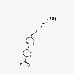 COC(=O)c1ccc(-c2ccc(OCCCCCCO)cc2)cc1